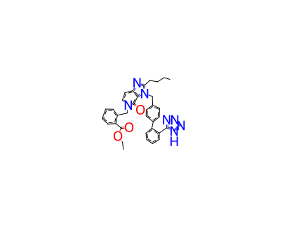 CCCCc1nc2ccn(Cc3ccccc3C(=O)OCC)c(=O)c2n1Cc1ccc(-c2ccccc2-c2nnn[nH]2)cc1